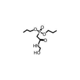 CCCOP(=O)(CC(=O)NCO)OCCC